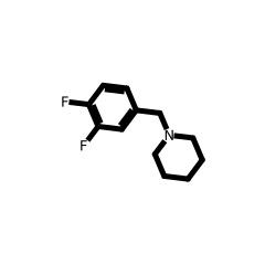 Fc1ccc(CN2CCCCC2)cc1F